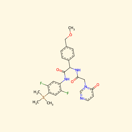 COCc1ccc(C(NC(=O)Cn2cnccc2=O)C(=O)Nc2cc(F)c(S(C)(C)C)cc2F)cc1